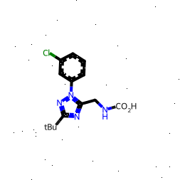 CC(C)(C)c1nc(CNC(=O)O)n(-c2cccc(Cl)c2)n1